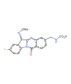 CON=C1c2cc(F)ccc2-n2c1nc1cc(CNC(=O)O)ccc1c2=O